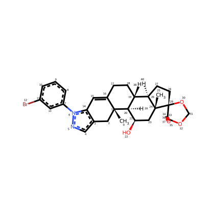 C[C@@]12Cc3cnn(-c4cccc(Br)c4)c3C=C1CC[C@H]1[C@H]2[C@H](O)C[C@]2(C)[C@@H]1CC[C@]21OCOC12COCO2